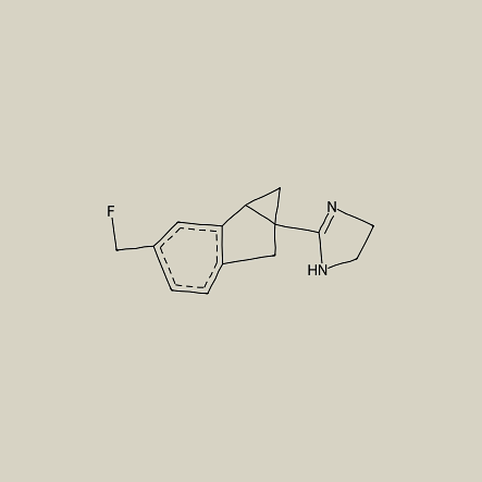 FCc1ccc2c(c1)C1CC1(C1=NCCN1)C2